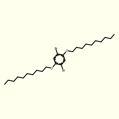 CCCCCCCCCCOc1cc(Br)c(OCCCCCCCCCC)cc1Br